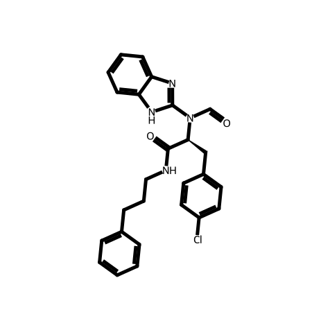 O=CN(c1nc2ccccc2[nH]1)[C@@H](Cc1ccc(Cl)cc1)C(=O)NCCCc1ccccc1